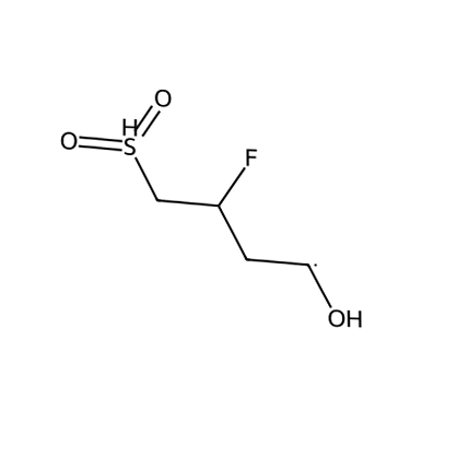 O=[SH](=O)CC(F)C[CH]O